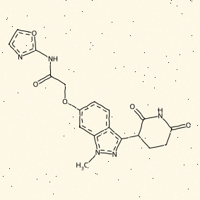 Cn1nc(C2CCC(=O)NC2=O)c2ccc(OCC(=O)Nc3ncco3)cc21